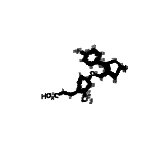 O=C(O)CCc1ccc(OCC2=C(c3ccc(F)cc3)CC(F)C2)cc1C(F)(F)F